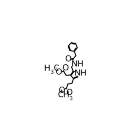 COC(=O)CCc1c[nH]c(CNC(=O)Cc2ccccc2)c1CC(=O)OC